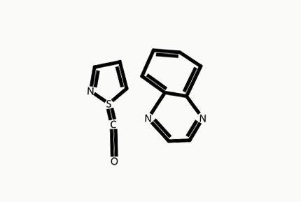 O=C=S1C=CC=N1.c1ccc2nccnc2c1